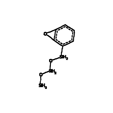 [SiH3]O[SiH2]O[SiH2]c1cccc2c1O2